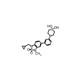 CN1c2cc(-c3cccc(N4CCS(O)(O)CC4)c3)ccc2N(CC2CC2)S1(=O)=O